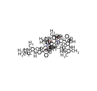 Cc1cc(C)c(NC(=O)CCCC(=O)Nc2c(C)cc(C)c(Nc3ccc4c(-c5ccccc5S(=O)(=O)O)c5cc(S(=O)(=O)O)/c(=N\c6c(C)cc(C)c(NC(=O)C(C)C)c6C)cc-5oc4c3)c2C)c(C)c1/N=c1/cc2oc3cc(Nc4c(C)cc(C)c(NC(=O)C(C)C)c4C)ccc3c(-c3ccccc3S(=O)(=O)O)c-2cc1S(=O)(=O)O